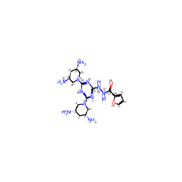 N[C@@H]1C[C@H](N)CN(c2nc(NNC(=O)c3ccco3)nc(N3C[C@H](N)C[C@H](N)C3)n2)C1